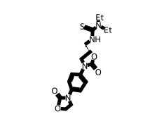 CCN(CC)C(=S)NC[C@H]1CN(c2ccc(N3CCOC3=O)cc2)C(=O)O1